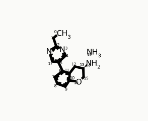 CCc1ncc(-c2cccc3c2C[C@H](N)CO3)cn1.N